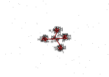 CC(=O)N[C@H]1[C@H]([C@H](OC(=O)NCCCCCCNC(=O)CN(CCN(CC(=O)NCCCCCCNC(=O)O[C@H](C(O)CO)[C@@H]2OC(C(=O)O)=C[C@H](NC(=N)N)[C@H]2NC(C)=O)CC(=O)NCCCCCCNC(=O)O[C@H](C(O)CO)[C@H]2OC(C(=O)O)=C[C@H](NC(=N)N)[C@H]2NC(C)=O)CC(=O)NCCCCCCNC(=O)O[C@H](C(O)CO)[C@@H]2OC(C(=O)O)=C[C@H](NC(=N)N)[C@H]2NC(C)=O)C(O)CO)OC(C(=O)O)=C[C@@H]1NC(=N)N